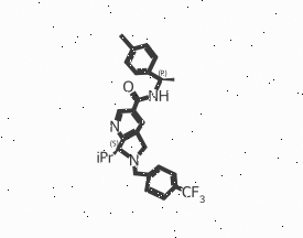 Cc1ccc([C@@H](C)NC(=O)c2cnc3c(c2)CN(Cc2ccc(C(F)(F)F)cc2)[C@H]3C(C)C)cc1